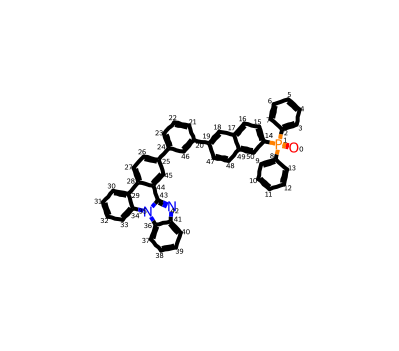 O=P(c1ccccc1)(c1ccccc1)c1ccc2cc(-c3cccc(-c4ccc5c6ccccc6n6c7ccccc7nc6c5c4)c3)ccc2c1